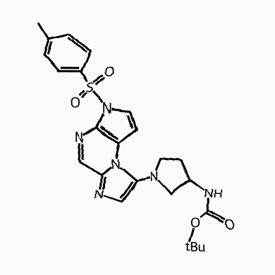 Cc1ccc(S(=O)(=O)n2ccc3c2ncc2ncc(N4CCC(NC(=O)OC(C)(C)C)C4)n23)cc1